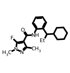 CCC(c1ccccc1NC(=O)c1c(C)nn(C)c1F)C1CCCCC1